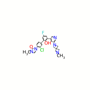 CN1CC2(C1)CN(c1cncc(-c3cc(F)cc(-c4ccc(-n5ccn(C)c5=O)c(Cl)c4)c3O)c1)C2